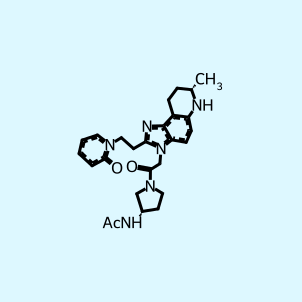 CC(=O)N[C@H]1CCN(C(=O)Cn2c(CCn3ccccc3=O)nc3c4c(ccc32)N[C@@H](C)CC4)C1